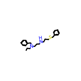 CCCN(CCCNCCCSCc1ccccc1)Cc1ccccc1